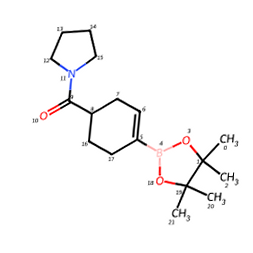 CC1(C)OB(C2=CCC(C(=O)N3CCCC3)CC2)OC1(C)C